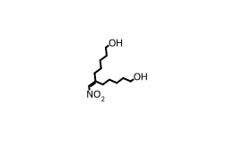 O=[N+]([O-])C=C(CCCCCO)CCCCCO